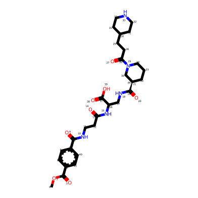 COC(=O)c1ccc(C(=O)NCCC(=O)NC(CNC(=O)[C@@H]2CCCN(C(=O)CCC3CCNCC3)C2)C(=O)O)cc1